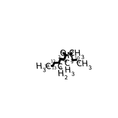 C=C(/C=C(\C)C(=O)N(C)CCC)CCC